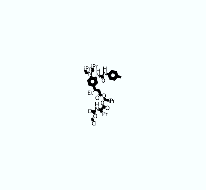 CC[C@@H](CC(=O)OC(OC(=O)C(NC(=O)OCCl)C(C)C)C(C)C)c1ccc(N(CC(C)C)CC(C)C)c(NC(=O)Nc2ccc(C)cc2)c1